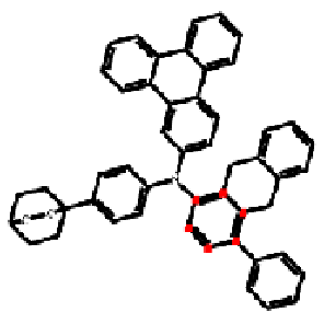 c1ccc(-c2ccc(N(c3ccc(C45CCC(CC4)CC5)cc3)c3ccc4c5ccccc5c5ccccc5c4c3)c3c2C2c4ccccc4C3c3ccccc32)cc1